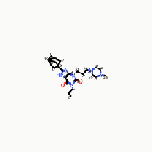 CCCn1c(=O)c2[nH]c(C34CC5CC(C3)C(C5)C4)nc2n(CCCN2CCN(C)CC2)c1=O